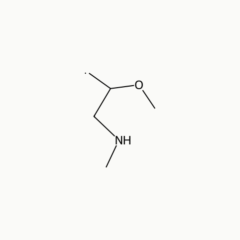 [CH2]C(CNC)OC